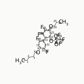 CCCCCOc1cc(F)c(-c2c(OS(=O)(=O)C(F)(F)F)cc(OCCC)c(F)c2F)cc1F